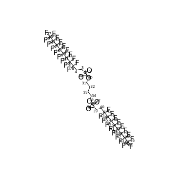 O=S(=O)(CCC(F)(F)C(F)(F)C(F)(F)C(F)(F)C(F)(F)C(F)(F)C(F)(F)C(F)(F)F)OCCCCOS(=O)(=O)CCC(F)(F)C(F)(F)C(F)(F)C(F)(F)C(F)(F)C(F)(F)C(F)(F)C(F)(F)F